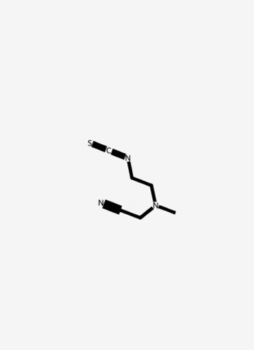 CN(CC#N)CCN=C=S